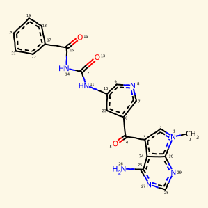 Cn1cc(C(=O)c2cncc(NC(=O)NC(=O)c3ccccc3)c2)c2c(N)ncnc21